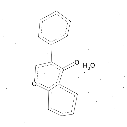 O.O=c1c(-c2ccccc2)coc2ccccc12